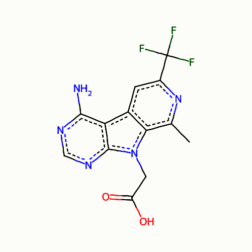 Cc1nc(C(F)(F)F)cc2c3c(N)ncnc3n(CC(=O)O)c12